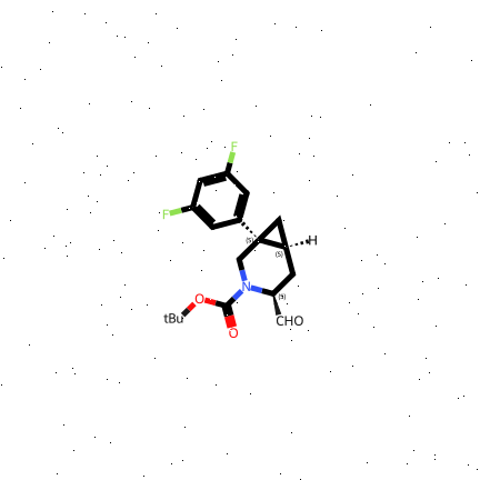 CC(C)(C)OC(=O)N1C[C@@]2(c3cc(F)cc(F)c3)C[C@H]2C[C@H]1C=O